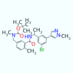 Cc1ccc(CN(C)C(=O)OC(C)(C)C)cc1C(=O)NC(C)c1cc(Br)cc(-c2cnn(C)c2)c1